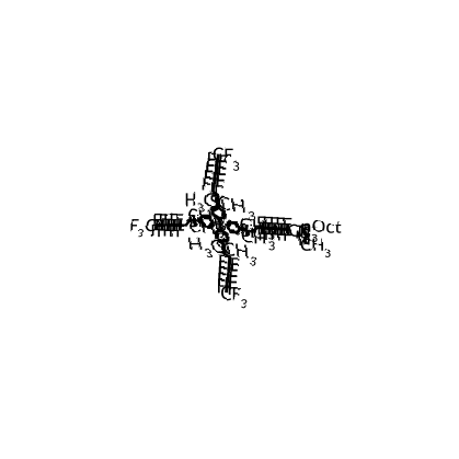 CCCCCCCC[n+]1ccn(C)c1.C[Si](C)(CCC(F)(F)C(F)(F)C(F)(F)C(F)(F)C(F)(F)C(F)(F)F)c1ccc([B-](c2ccc([Si](C)(C)CCC(F)(F)C(F)(F)C(F)(F)C(F)(F)C(F)(F)C(F)(F)F)cc2)(c2ccc([Si](C)(C)CCC(F)(F)C(F)(F)C(F)(F)C(F)(F)C(F)(F)C(F)(F)F)cc2)c2ccc([Si](C)(C)CCC(F)(F)C(F)(F)C(F)(F)C(F)(F)C(F)(F)C(F)(F)F)cc2)cc1